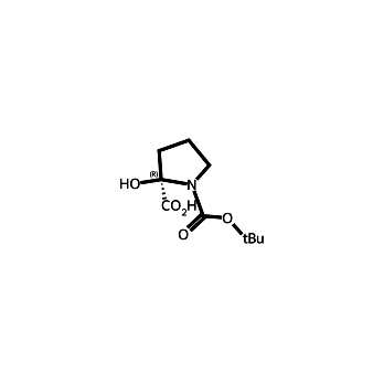 CC(C)(C)OC(=O)N1CCC[C@@]1(O)C(=O)O